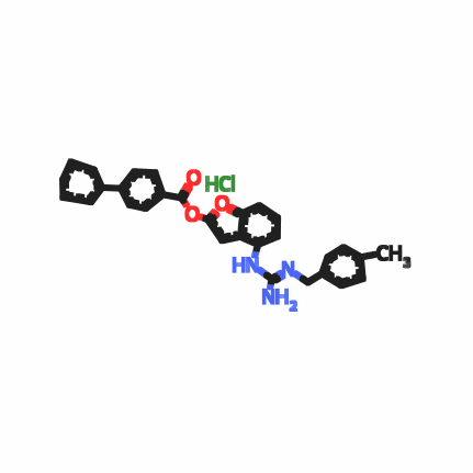 Cc1ccc(CN=C(N)Nc2cccc3oc(OC(=O)c4ccc(-c5ccccc5)cc4)cc23)cc1.Cl